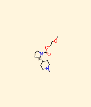 COCCOC(=O)N1CCC[C@H]1C1CCN(C)CC1